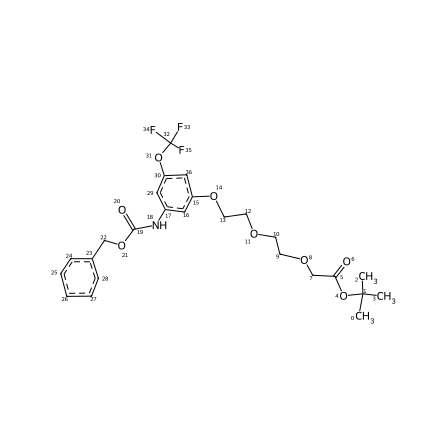 CC(C)(C)OC(=O)COCCOCCOc1cc(NC(=O)OCc2ccccc2)cc(OC(F)(F)F)c1